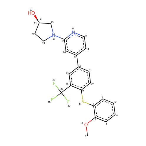 COc1ccccc1Sc1ccc(-c2ccnc(N3CC[C@@H](O)C3)c2)cc1C(F)(F)F